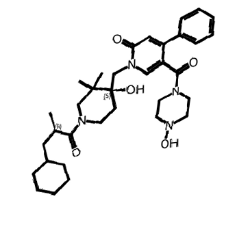 C[C@H](CC1CCCCC1)C(=O)N1CC[C@@](O)(Cn2cc(C(=O)N3CCN(O)CC3)c(-c3ccccc3)cc2=O)C(C)(C)C1